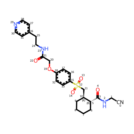 N#CCNC(=O)[C@@H]1CCCC[C@H]1CS(=O)(=O)c1ccc(OCC(=O)NCCc2ccncc2)cc1